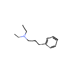 CCN(CC)CCCc1cc[c]cc1